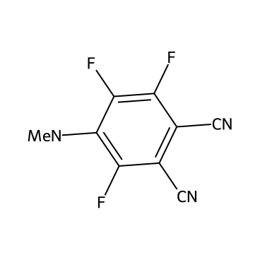 CNc1c(F)c(F)c(C#N)c(C#N)c1F